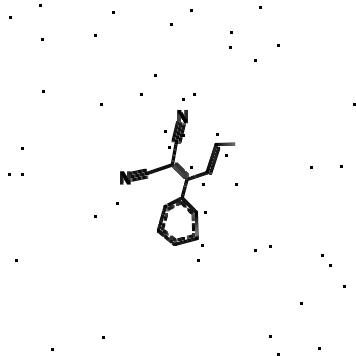 CC=CC(=C(C#N)C#N)c1ccccc1